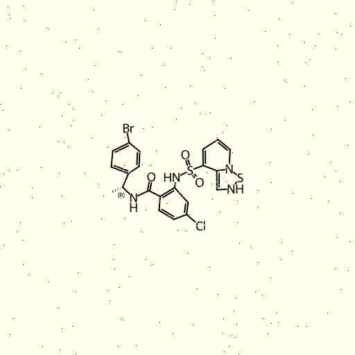 C[C@@H](NC(=O)c1ccc(Cl)cc1NS(=O)(=O)C1=CC=CN2SNC=C12)c1ccc(Br)cc1